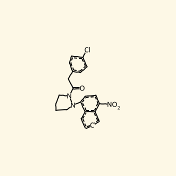 O=C(Cc1ccc(Cl)cc1)N1CCCCN1c1ccc([N+](=O)[O-])c2ccccc12